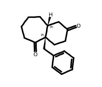 O=C1CC[C@]2(Cc3ccccc3)C(=O)CCCC[C@@H]2C1